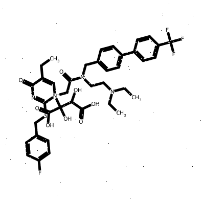 CCC1=C[N+](CC(=O)N(CCN(CC)CC)Cc2ccc(-c3ccc(C(F)(F)F)cc3)cc2)(C(O)(C(=O)O)C(O)C(=O)O)C(SCc2ccc(F)cc2)=NC1=O